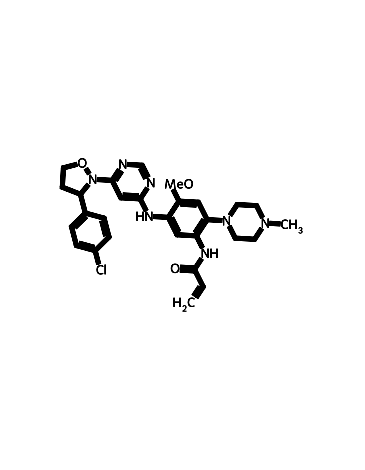 C=CC(=O)Nc1cc(Nc2cc(N3OCCC3c3ccc(Cl)cc3)ncn2)c(OC)cc1N1CCN(C)CC1